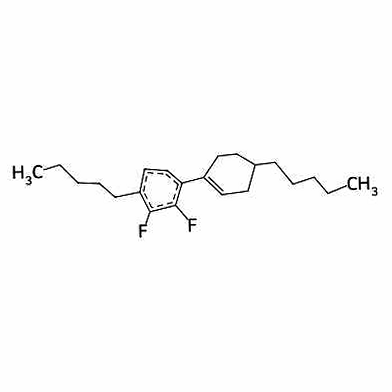 CCCCCc1ccc(C2=CCC(CCCCC)CC2)c(F)c1F